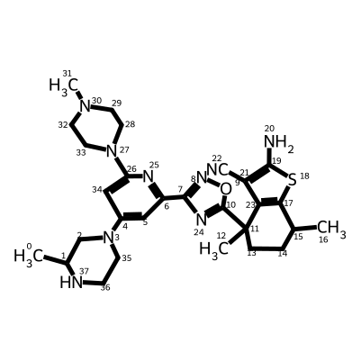 CC1CN(c2cc(-c3noc(C4(C)CCC(C)c5sc(N)c(C#N)c54)n3)nc(N3CCN(C)CC3)c2)CCN1